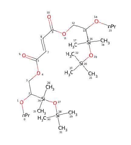 CCCOC(COC(=O)C=CC(=O)OCC(OCCC)[Si](C)(C)O[Si](C)(C)C)[Si](C)(C)O[Si](C)(C)C